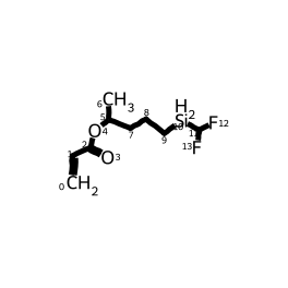 C=CC(=O)OC(C)CCC[SiH2]C(F)F